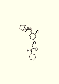 CN1C2CCC1CC(Sc1ccc(OCC(=O)NC3CCCCC3)cc1Cl)C2